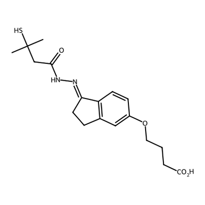 CC(C)(S)CC(=O)NN=C1CCc2cc(OCCCC(=O)O)ccc21